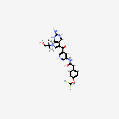 CC(C)(CO)n1cc(C(=O)c2cncc(NC(=O)Cc3ccc(OC(F)F)cc3)c2)c2cnc(N)nc21